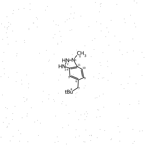 CN1NNc2cc(CC(C)(C)C)ccc21